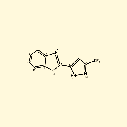 FC(F)(F)c1cc(-c2nc3ccccc3s2)[nH]n1